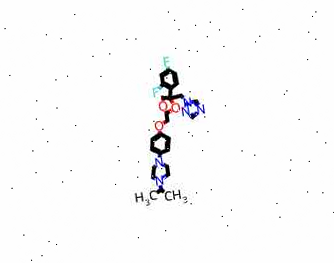 CC(C)N1CCN(c2ccc(OCC3OCC(Cn4cncn4)(c4ccc(F)cc4F)O3)cc2)CC1